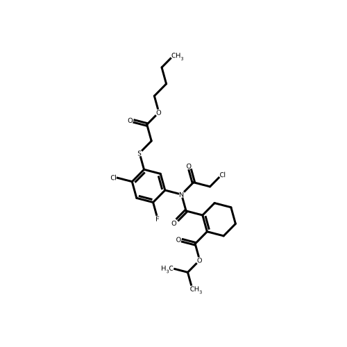 CCCCOC(=O)CSc1cc(N(C(=O)CCl)C(=O)C2=C(C(=O)OC(C)C)CCCC2)c(F)cc1Cl